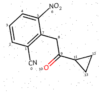 N#Cc1cccc([N+](=O)[O-])c1CC(=O)C1CC1